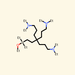 CCO[Si](CC)(CC)CCC(CCCN(CC)CC)(CCCN(CC)CC)CCCN(CC)CC